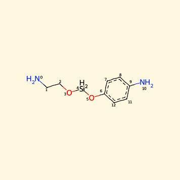 NCCO[SiH2]Oc1ccc(N)cc1